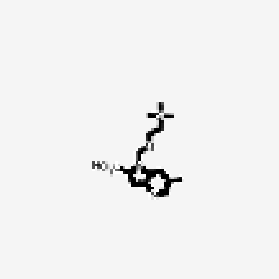 Cc1cnc2cc(C(=O)O)n(COCC[Si](C)(C)C)c2c1